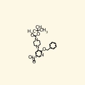 CC(C)(C)OC(=O)N1CCN(c2cc([N+](=O)[O-])cnc2OCc2ccccc2)CC1